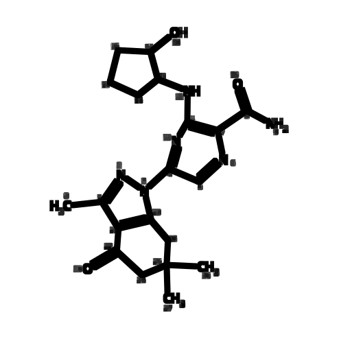 Cc1nn(-c2cnc(C(N)=O)c(NC3CCCC3O)n2)c2c1C(=O)CC(C)(C)C2